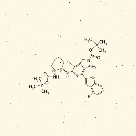 CC(C)(C)OC(=O)N[C@H]1CCCC[C@H]1Nc1nc(-c2cc3c(F)cccc3s2)c2c(c1F)CN(C(=O)OC(C)(C)C)C2=O